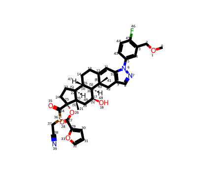 COCc1cc(-n2ncc3c2C=C2CC[C@@H]4[C@H]([C@@H](O)C[C@@]5(C)[C@H]4CC[C@]5(OC(=O)c4ccco4)C(=O)SCC#N)[C@@]2(C)C3)ccc1F